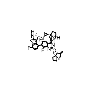 C=C1CN2CCC[C@@]2(COc2nc(N3C[C@@H]4CC[C@](C5CC5)(C3)N4)c3cc(F)c(-c4ccc(F)c5sc(N)c(C#N)c45)c(F)c3n2)C1